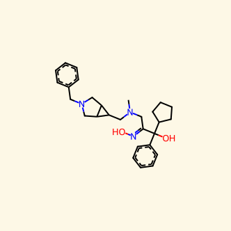 CN(CC(=NO)C(O)(c1ccccc1)C1CCCC1)CC1C2CN(Cc3ccccc3)CC12